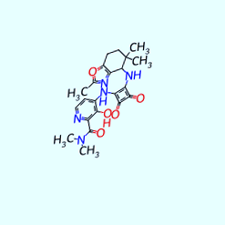 Cc1nc2c(o1)CCC(C)(C)C2Nc1c(Nc2ccnc(C(=O)N(C)C)c2O)c(=O)c1=O